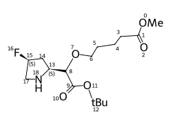 COC(=O)CCCCOC(C(=O)OC(C)(C)C)[C@@H]1C[C@H](F)CN1